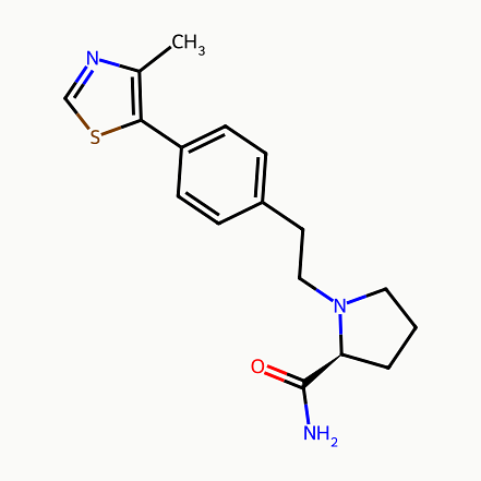 Cc1ncsc1-c1ccc(CCN2CCC[C@H]2C(N)=O)cc1